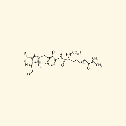 CC(C)Cc1ncc(F)c2nc(Cn3c(C(F)(F)F)ccc(NC(=O)C(CC/C=C/C(=O)N(C)C)NC(=O)O)c3=O)[nH]c12